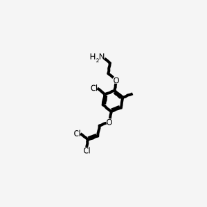 Cc1cc(OCC=C(Cl)Cl)cc(Cl)c1OCCN